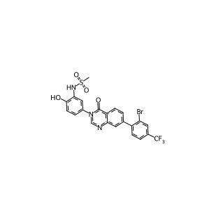 CS(=O)(=O)Nc1cc(-n2cnc3cc(-c4ccc(C(F)(F)F)cc4Br)ccc3c2=O)ccc1O